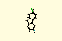 Fc1ccc2c(c1)-c1ccc(Cl)cc1C2